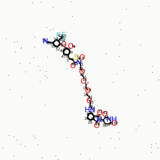 COc1cc(C=C2SC(=O)N(CCOCCOCCOCCOCCNc3cccc4c3C(=O)N(C3CCC(=O)NC3=O)C4=O)C2=O)ccc1Oc1ccc(C#N)cc1C(F)(F)F